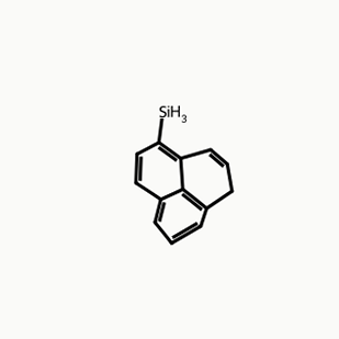 [SiH3]c1ccc2cccc3c2c1C=CC3